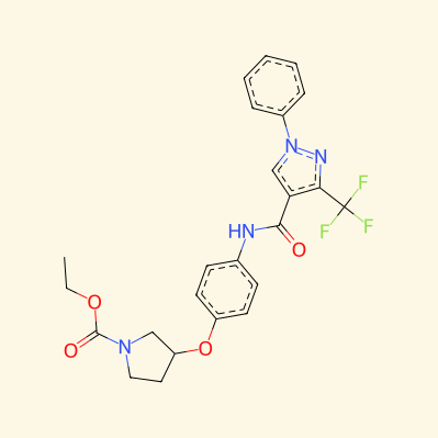 CCOC(=O)N1CCC(Oc2ccc(NC(=O)c3cn(-c4ccccc4)nc3C(F)(F)F)cc2)C1